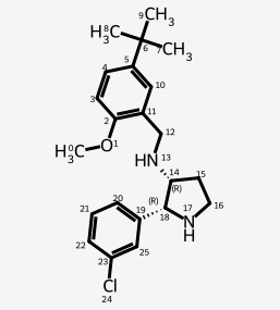 COc1ccc(C(C)(C)C)cc1CN[C@@H]1CCN[C@@H]1c1cccc(Cl)c1